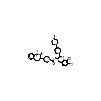 O=C(O[C@H](Cc1ccc(Cl)c(Cl)c1)C(=O)N1CCC(N2CCNCC2)CC1)N1CCC(C2CCc3ccccc3N[NH+]2[O-])CC1